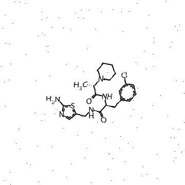 C[C@@H](C(=O)N[C@@H](Cc1cccc(Cl)c1)C(=O)NCc1cnc(N)s1)N1CCCCC1